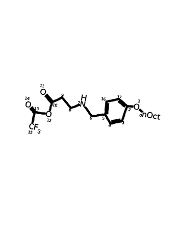 CCCCCCCCOc1ccc(CNCCC(=O)OC(=O)C(F)(F)F)cc1